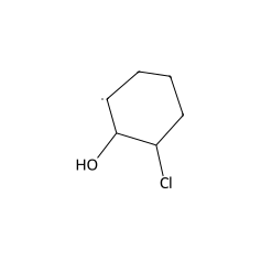 OC1[CH]CCCC1Cl